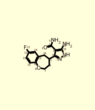 NC(=O)c1c(C2CCOc3ccc(F)cc3C2)n[nH]c1N